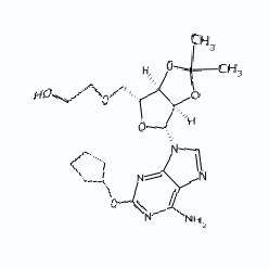 CC1(C)O[C@@H]2[C@H](O1)[C@@H](COCCO)O[C@H]2n1cnc2c(N)nc(OC3CCCC3)nc21